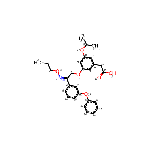 CCCO/N=C(\COc1cc(CC(=O)O)cc(OC(C)C)c1)c1cccc(Oc2ccccc2)c1